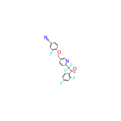 N#Cc1ccc(OCc2ccc(C(F)(F)C3(c4ccc(F)cc4F)CO3)nc2)c(F)c1